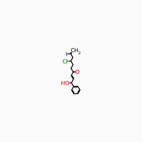 C=C(I)CC(Cl)CCC(=O)C=CC(O)c1ccccc1